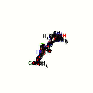 Cc1ncsc1-c1ccc([C@H](C)NC(=O)C2C[C@@H](O)CN2C(=O)[C@@H](NC(=O)CCCCCC(=O)N2CCN(CC[C@H](CSc3ccccc3)Nc3ccc(S(=O)(=O)NC(=O)c4ccc(N5CC6(CCN(CC7=C(c8ccc(Cl)cc8)CCC(C)(C)C7)CC6)C5)cc4)cc3S(=O)(=O)C(F)(F)F)CC2)C(C)(C)C)cc1